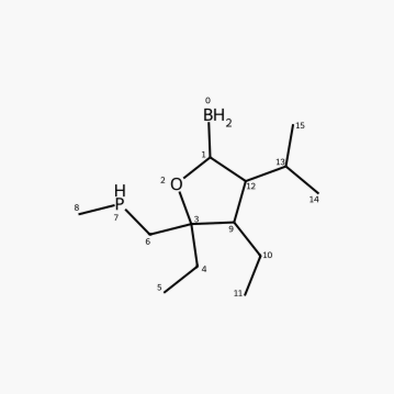 BC1OC(CC)(CPC)C(CC)C1C(C)C